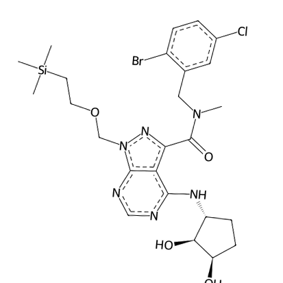 CN(Cc1cc(Cl)ccc1Br)C(=O)c1nn(COCC[Si](C)(C)C)c2ncnc(N[C@@H]3CC[C@@H](O)[C@H]3O)c12